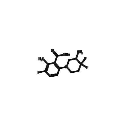 COC(=O)c1c(N2CCC(F)(F)C(C)C2)ccc(I)c1C